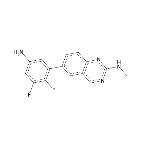 CNc1ncc2cc(-c3cc(N)cc(F)c3F)ccc2n1